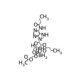 B[PH]1(OCOC(C)=O)OC[C@H]2OC(N3CNc4c(NC(=O)CCC)ncnc43)C(OC(=O)CCC)[C@@H]2O1